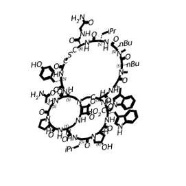 CCCC[C@H]1C(=O)N(C)[C@@H](CCCC)C(=O)N[C@@H](CC(C)C)C(=O)N[C@H](C(=O)NCC(N)=O)CSCC(=O)N[C@@H](Cc2ccc(O)cc2)C(=O)N(C)[C@H]2CN3CC[C@H](NC(=O)[C@H](Cc4c[nH]c5ccccc45)NC(=O)[C@@H]4C[C@@H](O)CN4C(=O)[C@H](CC(C)C)NC(=O)[C@H](CNc4c3c(=O)c4=O)NC(=O)[C@@H]3CCCN3C(=O)[C@H](CC(N)=O)NC2=O)C(=O)N[C@@H](Cc2cn(CC(=O)O)c3ccccc23)C(=O)N1C